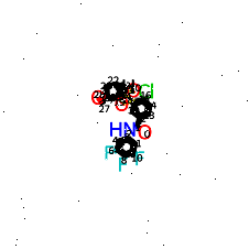 O=C(Nc1cc(F)c(F)c(F)c1)c1ccc(Cl)c(S(=O)(=O)[C@@H]2C3CCC2[C@]2(CO2)C3)c1